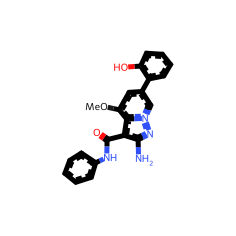 COc1cc(-c2ccccc2O)cn2nc(N)c(C(=O)Nc3ccccc3)c12